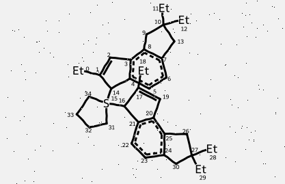 CCC1=Cc2c(ccc3c2CC(CC)(CC)C3)C1S1(C2C(CC)=Cc3c2ccc2c3CC(CC)(CC)C2)CCCC1